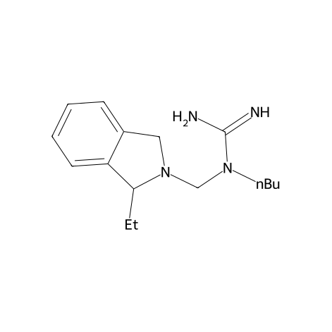 CCCCN(CN1Cc2ccccc2C1CC)C(=N)N